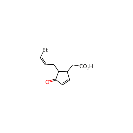 CC/C=C\CC1C(=O)C=CC1CC(=O)O